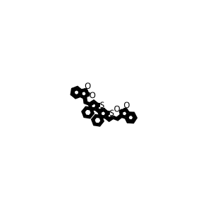 O=C1C(=O)c2ccccc2/C1=C/C1=Cc2sc3c(c2C12CCCCC2)C1(CCCCC1)c1cc(/C=C2\C(=O)C(=O)c4ccccc42)sc1-3